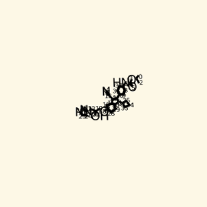 CC(C)OC(=O)Nc1ccc(C2=C(C#N)c3cc(OCC(O)Cn4ccnn4)ccc3C2C2CCC2)cc1